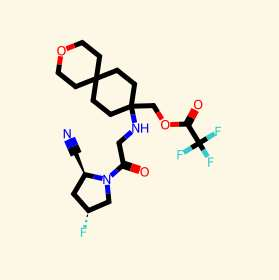 N#C[C@@H]1C[C@@H](F)CN1C(=O)CNC1(COC(=O)C(F)(F)F)CCC2(CCOCC2)CC1